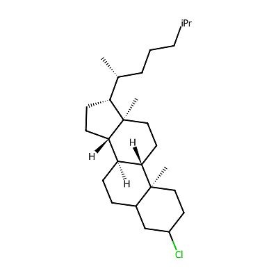 CC(C)CCC[C@@H](C)[C@H]1CC[C@H]2[C@@H]3CCC4CC(Cl)CC[C@]4(C)[C@H]3CC[C@]12C